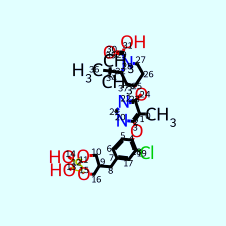 Cc1c(Oc2ccc(CC3COS(O)(O)OC3)cc2Cl)ncnc1OC1CCN(C(=O)O)C(C(C)(C)C)C1